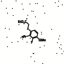 CCCc1c(CCC(=O)OCC)ccc(OC)c1F